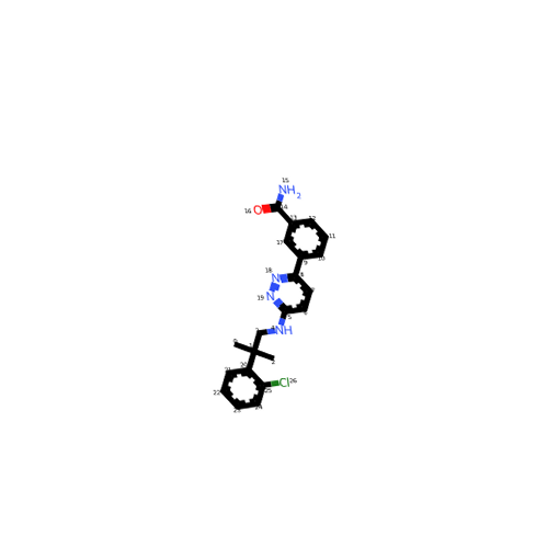 CC(C)(CNc1ccc(-c2cccc(C(N)=O)c2)nn1)c1ccccc1Cl